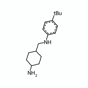 CC(C)(C)c1ccc(NCC2CCC(N)CC2)cc1